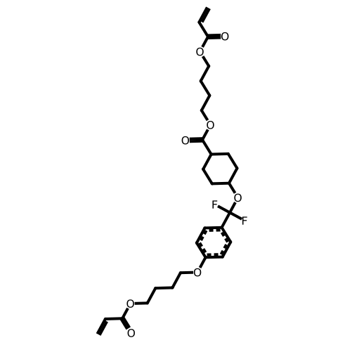 C=CC(=O)OCCCCOC(=O)C1CCC(OC(F)(F)c2ccc(OCCCCOC(=O)C=C)cc2)CC1